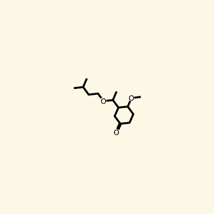 COC1CCC(=O)CC1C(C)OCCC(C)C